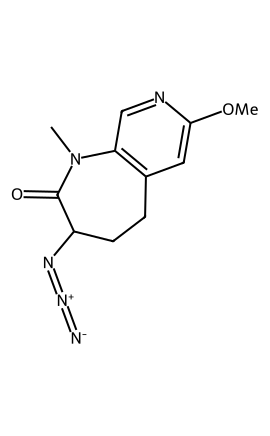 COc1cc2c(cn1)N(C)C(=O)C(N=[N+]=[N-])CC2